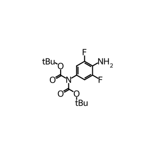 CC(C)(C)OC(=O)N(C(=O)OC(C)(C)C)c1cc(F)c(N)c(F)c1